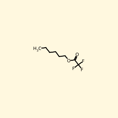 CCCCCCOC(=O)C(F)(F)F